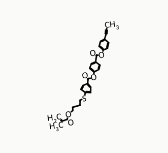 C=C(C)C(=O)OCCCCSc1ccc(C(=O)Oc2ccc(C(=O)Oc3ccc(C#CC)cc3)cc2)cc1